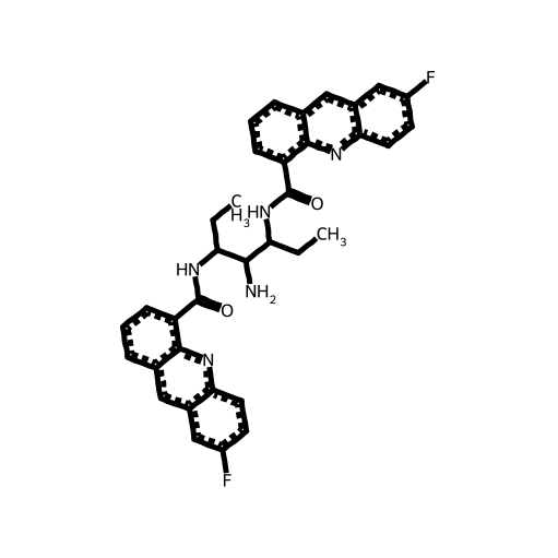 CCC(NC(=O)c1cccc2cc3cc(F)ccc3nc12)C(N)C(CC)NC(=O)c1cccc2cc3cc(F)ccc3nc12